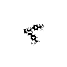 CC(C)(O)c1ccc(Nc2nc(-c3ccc(C(N)=O)cc3)cn3ccnc23)cc1